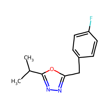 CC(C)c1nnc(Cc2ccc(F)cc2)o1